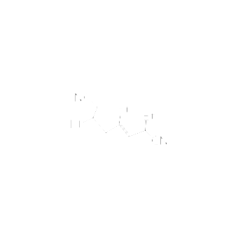 CC/C(=C\C(C#N)CC)CC(CC)CC#N